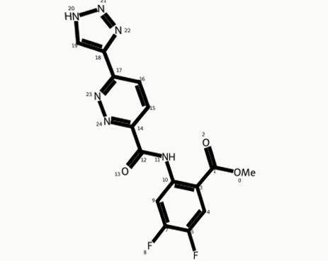 COC(=O)c1cc(F)c(F)cc1NC(=O)c1ccc(-c2c[nH]nn2)nn1